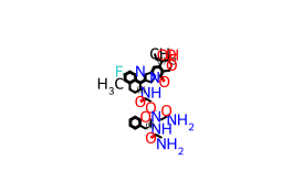 CC[C@@]1(O)C(=O)OCc2c1cc1n(c2=O)Cc2c-1nc1cc(F)c(C)c3c1c2[C@@H](NC(=O)COCN(CC(N)=O)C(=O)[C@H](Cc1ccccc1)NC(=O)CN)CC3